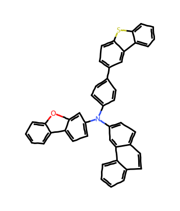 c1ccc2c(c1)ccc1ccc(N(c3ccc(-c4ccc5sc6ccccc6c5c4)cc3)c3ccc4c(c3)oc3ccccc34)cc12